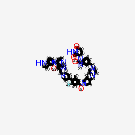 Cc1cc(C(=O)N2CCC(CN3CCN(Cc4ccc5c(c4)n(C)c(=O)n5C4CCC(=O)NC4=O)C[C@@H]3C)CC2)cc(F)c1C1=CCN(Cc2cc3c(-n4ccc5c(c4=O)CCN5)ccnc3n2C)CC1